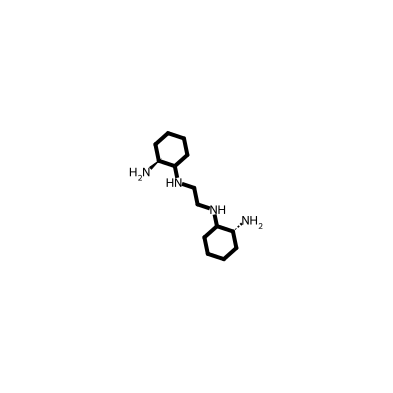 N[C@@H]1CCCCC1NCCNC1CCCC[C@@H]1N